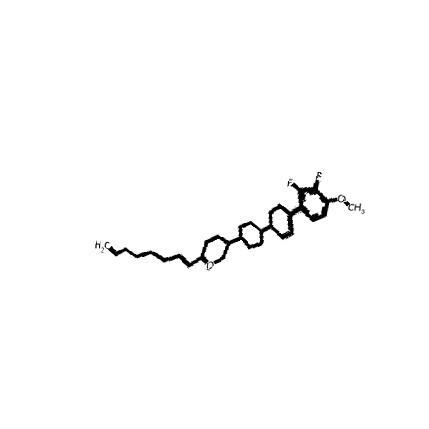 C=CCCCCCCC1CCC(C2CCC(C3CC=C(c4ccc(OC)c(F)c4F)CC3)CC2)CO1